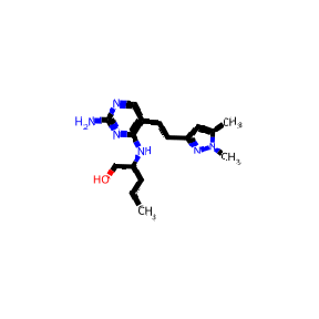 CCCC(CO)Nc1nc(N)ncc1CCc1cc(C)n(C)n1